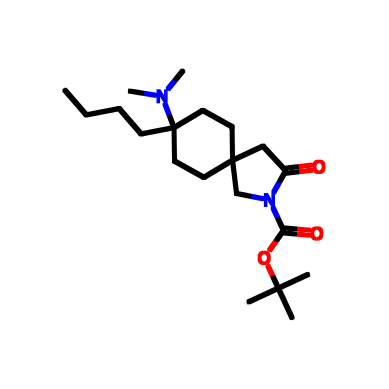 CCCCC1(N(C)C)CCC2(CC1)CC(=O)N(C(=O)OC(C)(C)C)C2